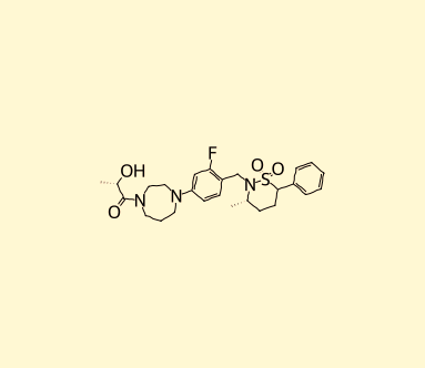 C[C@H](O)C(=O)N1CCCN(c2ccc(CN3[C@@H](C)CCC(c4ccccc4)S3(=O)=O)c(F)c2)CC1